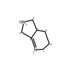 C1CN=C2CNCC2C1